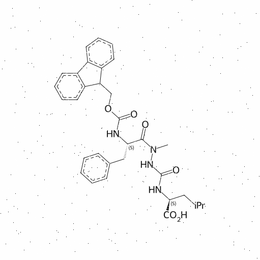 CC(C)C[C@H](NC(=O)NN(C)C(=O)[C@H](Cc1ccccc1)NC(=O)OCC1c2ccccc2-c2ccccc21)C(=O)O